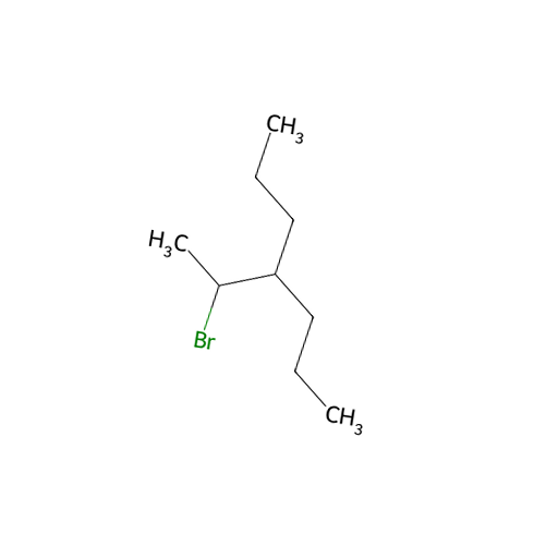 CCCC(CCC)C(C)Br